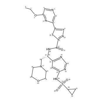 CCOc1cncc(-c2cnc(C(=O)N[C@@H](CN3CCOCC3)c3cc(NS(=O)(=O)C4CC4)ncn3)s2)n1